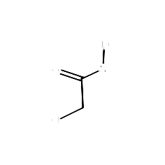 C[CH]NC(=O)CCl